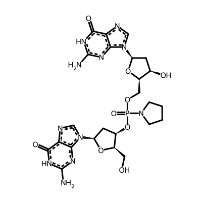 Nc1nc2c(ncn2[C@H]2C[C@@H](O)[C@@H](COP(=O)(O[C@@H]3C[C@H](n4cnc5c(=O)[nH]c(N)nc54)O[C@@H]3CO)N3CCCC3)O2)c(=O)[nH]1